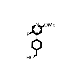 COc1cc([C@H]2CC[C@H](CO)CC2)c(F)cn1